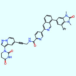 CC(C)c1cc(-c2cccc3cc(-c4ccc(C(=O)NCC#Cc5ccn6ncc(N7CCC(=O)NC7=O)c6c5)nc4)ncc23)cc2c1n(C)c(=O)n2C